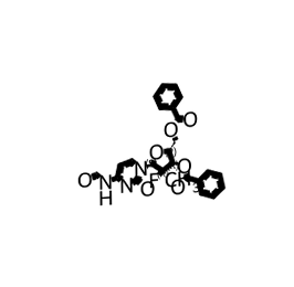 C[C@@]1(F)[C@H](OC(=O)c2ccccc2)[C@@H](COC(=O)c2ccccc2)O[C@@H]1n1ccc(NC=O)nc1=O